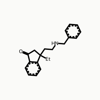 CCC1(CCNCc2ccccc2)CC(=O)c2ccccc21